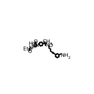 CCC(=O)NC[C@H]1CN(c2ccc(C3(C)CN(C(=O)CCCC#Cc4cccc(CN)c4)C3)cc2)C(=O)O1